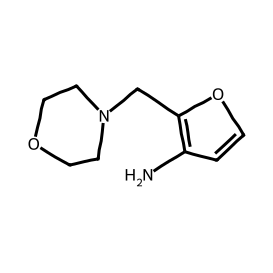 Nc1ccoc1CN1CCOCC1